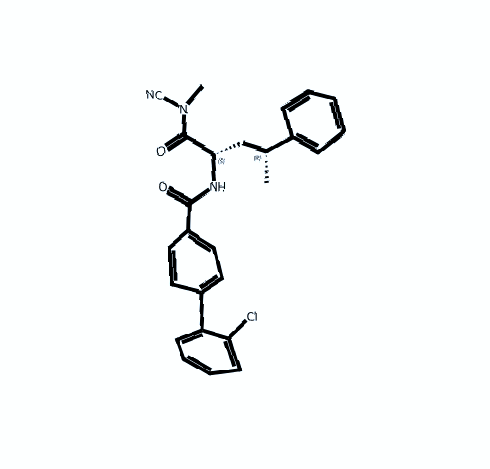 C[C@H](C[C@H](NC(=O)c1ccc(-c2ccccc2Cl)cc1)C(=O)N(C)C#N)c1ccccc1